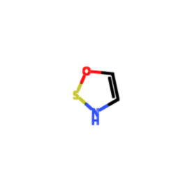 C1=COSN1